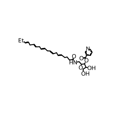 CCC=CCC=CCC=CCC=CCC=CCCCC(=O)NCC1OC(O)C(O)C1OC(=O)c1cccnc1